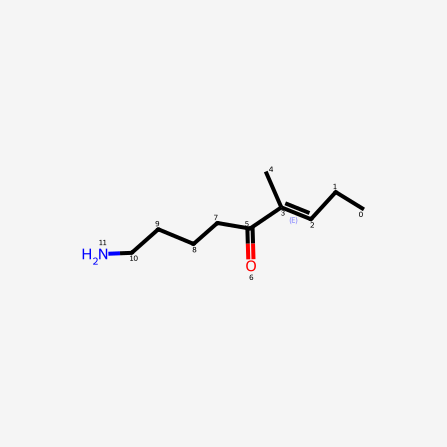 CC/C=C(\C)C(=O)CCCCN